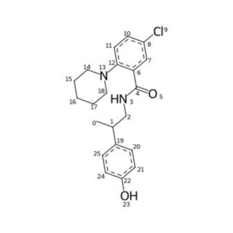 CC(CNC(=O)c1cc(Cl)ccc1N1CCCCC1)c1ccc(O)cc1